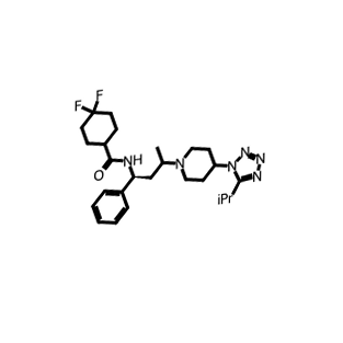 CC(C)c1nnnn1C1CCN(C(C)C[C@H](NC(=O)C2CCC(F)(F)CC2)c2ccccc2)CC1